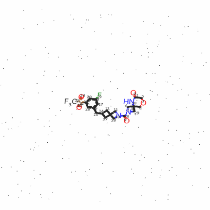 O=C1COCC2(CN(C(=O)N3CC4(CC(Cc5cc(F)cc(S(=O)(=O)C(F)(F)F)c5)C4)C3)C2)N1